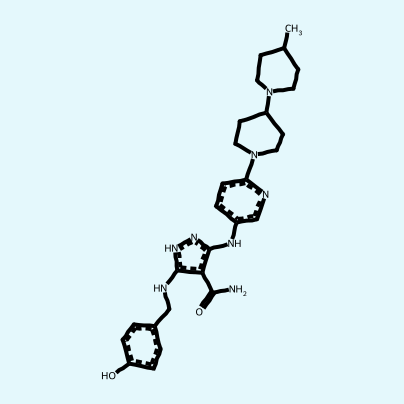 CC1CCN(C2CCN(c3ccc(Nc4n[nH]c(NCc5ccc(O)cc5)c4C(N)=O)cn3)CC2)CC1